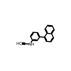 C#CNc1cccc(-c2cccc3ccccc23)c1